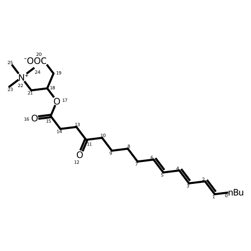 CCCCC=CC=CC=CCCCCC(=O)CCC(=O)OC(CC(=O)[O-])C[N+](C)(C)C